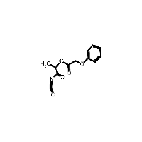 CC(OC(=O)COc1ccccc1)C(=O)N=C=O